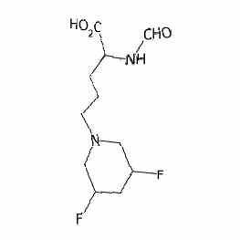 O=CNC(CCCN1CC(F)CC(F)C1)C(=O)O